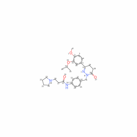 COc1ccc(C2=NN(Cc3ccc(NC(=O)CCN4CCCC4)cc3)C(=O)CC2)cc1OC(C)C